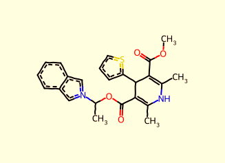 COC(=O)C1=C(C)NC(C)=C(C(=O)OC(C)n2cc3ccccc3c2)C1c1cccs1